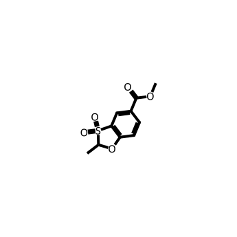 COC(=O)c1ccc2c(c1)S(=O)(=O)C(C)O2